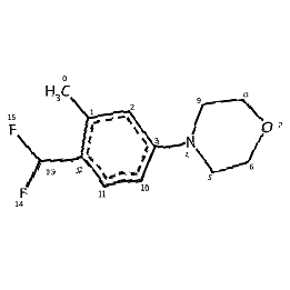 Cc1cc(N2CCOCC2)ccc1C(F)F